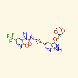 CN(C(=O)Nc1cc(C(F)(F)F)cn(C)c1=O)C12CC(c3cnc4[nH]nc(OC[C@H]5COCCO5)c4c3)(C1)C2